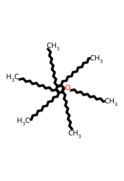 CCCCCCCCCCCCOc1c(CCCCCCCCCCCC)c(CCCCCCCCCCCC)c(CCCCCCCCCCCC)c(CCCCCCCCCCCC)c1CCCCCCCCCCCC